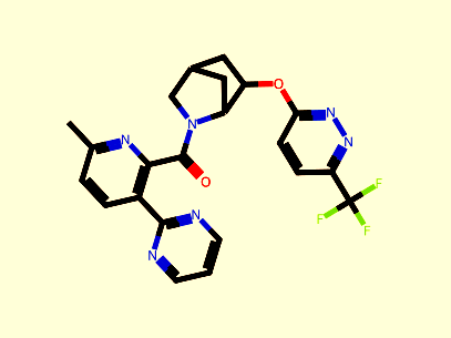 Cc1ccc(-c2ncccn2)c(C(=O)N2CC3CC(Oc4ccc(C(F)(F)F)nn4)C2C3)n1